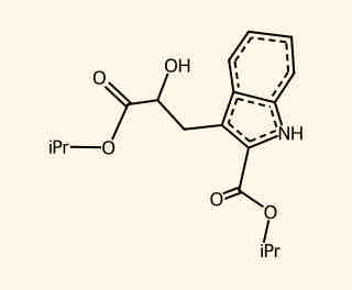 CC(C)OC(=O)c1[nH]c2ccccc2c1CC(O)C(=O)OC(C)C